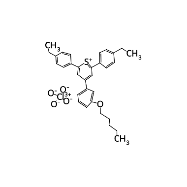 CCCCCOc1cccc(-c2cc(-c3ccc(CC)cc3)[s+]c(-c3ccc(CC)cc3)c2)c1.[O-][Cl+3]([O-])([O-])[O-]